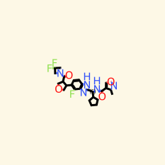 Cc1nocc1C(=O)N[C@H](c1nc2c(F)c(C3COCC3C(=O)N3CC(F)(F)C3)ccc2[nH]1)C1CCCC1